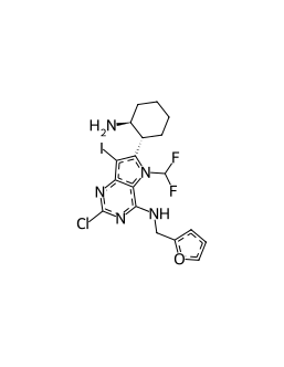 N[C@H]1CCCC[C@@H]1c1c(I)c2nc(Cl)nc(NCc3ccco3)c2n1C(F)F